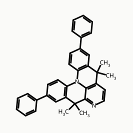 CC1(C)c2cc(-c3ccccc3)ccc2N2c3ccc(-c4ccccc4)cc3C(C)(C)c3nccc1c32